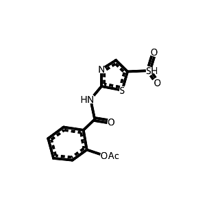 CC(=O)Oc1ccccc1C(=O)Nc1ncc([SH](=O)=O)s1